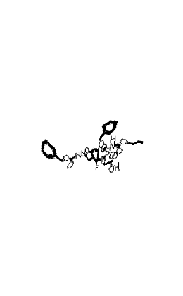 C=CCOC(=O)NS(=O)(=O)N(CC(=O)O)c1c(OCc2ccccc2)cc2c(c1F)C[C@H](CNC(=O)OCc1ccccc1)O2